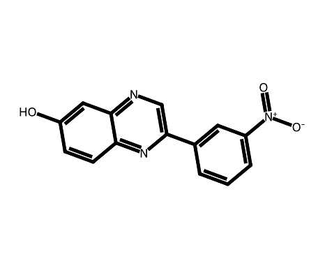 O=[N+]([O-])c1cccc(-c2cnc3cc(O)ccc3n2)c1